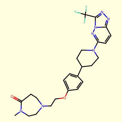 CN1CCN(CCOc2ccc(C3CCN(c4ccc5nnc(C(F)(F)F)n5n4)CC3)cc2)CCC1=O